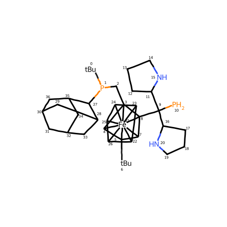 CC(C)(C)P(C[C]12[CH]3[C]4(C(C)(C)C)[CH]5[C]1(C(P)(C1CCCN1)C1CCCN1)[Fe]35241678[CH]2[CH]1[CH]6[CH]7[CH]28)C1C2CC3CC(C2)CC1C3